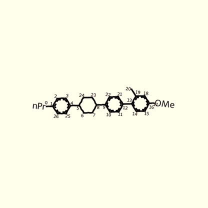 CCCc1ccc(C2CCC(c3ccc(-c4ccc(OC)cc4C)cc3)CC2)cc1